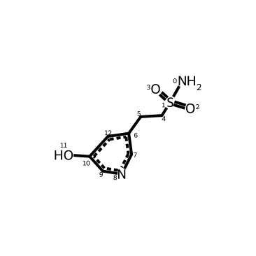 NS(=O)(=O)CCc1cncc(O)c1